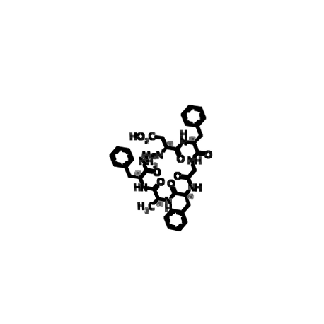 CN[C@@H](CC(=O)O)C(=O)N[C@@H](Cc1ccccc1)C(=O)NCC(=O)N[C@@H](Cc1ccccc1)C(=O)N[C@@H](C)C(=O)N[C@@H](Cc1ccccc1)C(N)=O